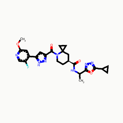 COc1cc(-c2cc(C(=O)N3CC[C@H](C(=O)NC(C)c4nnc(C5CC5)o4)CC34CC4)n[nH]2)c(F)cn1